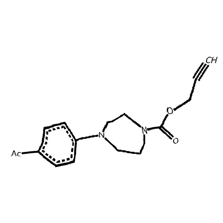 C#CCOC(=O)N1CCN(c2ccc(C(C)=O)cc2)CC1